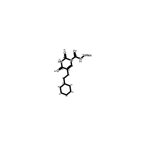 CCCCCCNC(=O)n1cc(CCC2CCCCC2)c(=O)[nH]c1=O